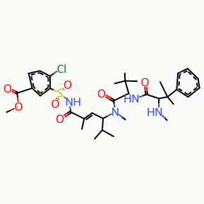 CNC(C(=O)NC(C(=O)N(C)C(C=C(C)C(=O)NS(=O)(=O)c1cc(C(=O)OC)ccc1Cl)C(C)C)C(C)(C)C)C(C)(C)c1ccccc1